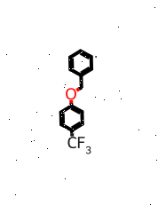 FC(F)(F)c1ccc(OCc2c[c]ccc2)cc1